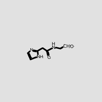 O=[C]CNC(=O)Cc1ncc[nH]1